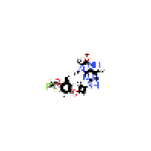 Cc1cc(O[C@H]2C[C@H](Nc3nc(C)c4c(n3)N(C)[C@@H](C)C(=O)N4)C2)ccc1OC(F)(F)F